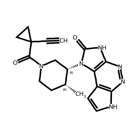 C#CC1(C(=O)N2CC[C@@H](C)[C@@H](n3c(=O)[nH]c4nnc5[nH]ccc5c43)C2)CC1